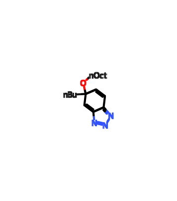 CCCCCCCCOC1(CCCC)C=CC2=NN=NC2=C1